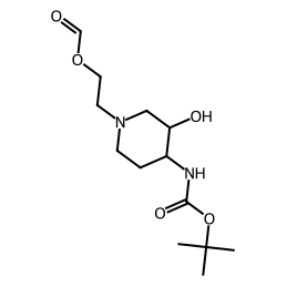 CC(C)(C)OC(=O)NC1CCN(CCOC=O)CC1O